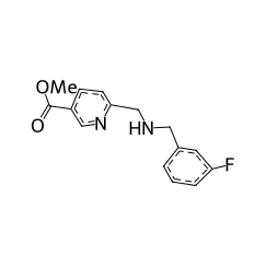 COC(=O)c1ccc(CNCc2cccc(F)c2)nc1